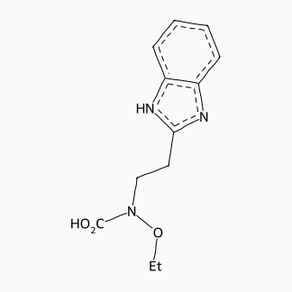 CCON(CCc1nc2ccccc2[nH]1)C(=O)O